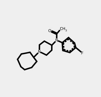 CC(=O)N(c1ccc(F)cc1)C1CCN(C2CCCCCCC2)CC1